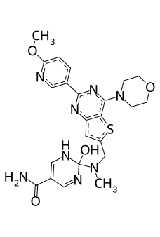 COc1ccc(-c2nc(N3CCOCC3)c3sc(CN(C)C4(O)N=CC(C(N)=O)=CN4)cc3n2)cn1